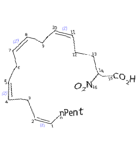 CCCCC/C=C\C/C=C\C/C=C\C/C=C\CCC(C(=O)O)[N+](=O)[O-]